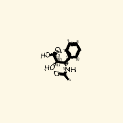 CC(=O)N[C@@H](c1ccccc1)[C@@H](O)C(=O)O